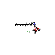 CCCCCCCCCCCCCC[N+](C)(C)CCC[Si](OCC)(OCC)OCC.[Cl-]